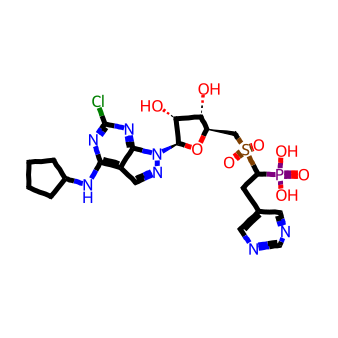 O=P(O)(O)C(Cc1cncnc1)S(=O)(=O)C[C@H]1O[C@@H](n2ncc3c(NC4CCCC4)nc(Cl)nc32)[C@H](O)[C@@H]1O